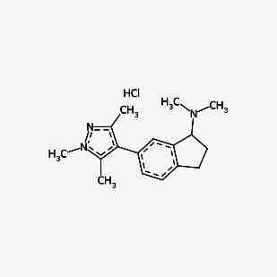 Cc1nn(C)c(C)c1-c1ccc2c(c1)C(N(C)C)CC2.Cl